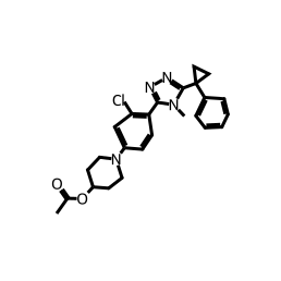 CC(=O)OC1CCN(c2ccc(-c3nnc(C4(c5ccccc5)CC4)n3C)c(Cl)c2)CC1